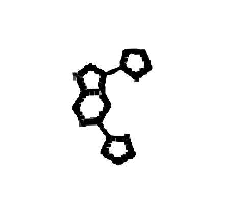 c1csc(-c2cn3c(-c4cccs4)cnc3cn2)c1